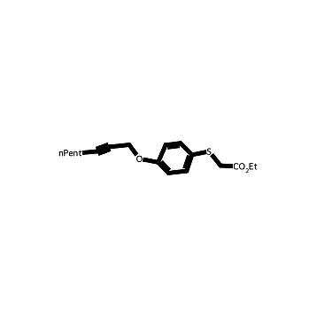 CCCCCC#CCOc1ccc(SCC(=O)OCC)cc1